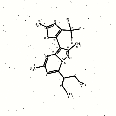 CCC(CC)c1cc(C)nc2c(-c3sc(N)nc3C(F)(F)F)c(C)nn12